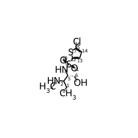 CCC(NC)[C@@H](CO)NS(=O)(=O)c1ccc(Cl)s1